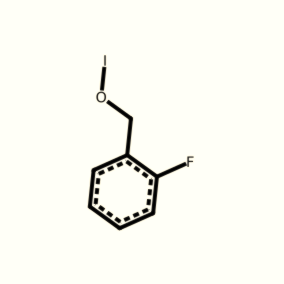 Fc1ccccc1COI